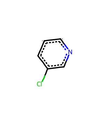 Clc1c[c][c]nc1